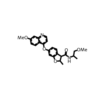 COCC(C)NC(=O)C1c2ccc(Oc3ccnc4cc(OC)ccc34)cc2OC1C